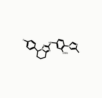 COc1cc(Nc2nc3n(n2)C(c2ccc(F)cc2)CCC3)ccc1-n1cnc(C)c1